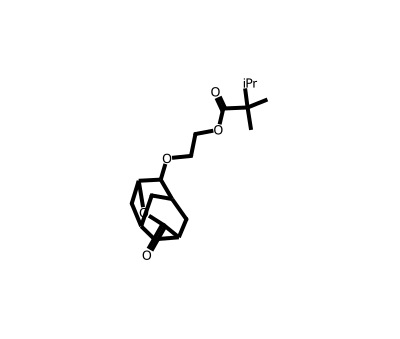 CC(C)C(C)(C)C(=O)OCCOC1C2CC3CC(C2)C(=O)OC1C3